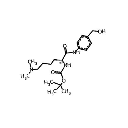 CN(C)CCCC[C@H](NC(=O)OC(C)(C)C)C(=O)Nc1ccc(CO)cc1